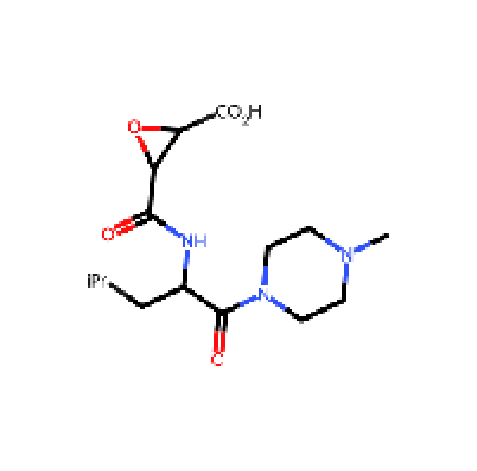 CC(C)CC(NC(=O)C1OC1C(=O)O)C(=O)N1CCN(C)CC1